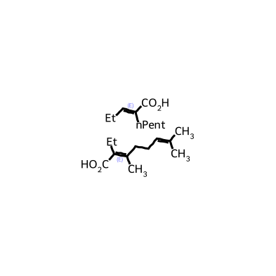 CC/C(C(=O)O)=C(/C)CCC=C(C)C.CC/C=C(\CCCCC)C(=O)O